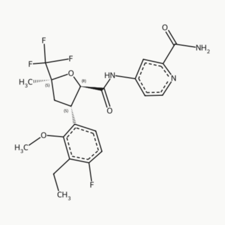 CCc1c(F)ccc([C@@H]2C[C@@](C)(C(F)(F)F)O[C@H]2C(=O)Nc2ccnc(C(N)=O)c2)c1OC